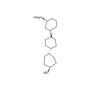 CCCCCCC[C@H]1CCC[C@@H](C2CCC([C@H]3CC[C@H](CCCC)CC3)CC2)C1